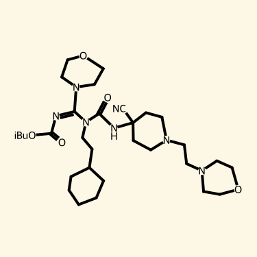 CC(C)COC(=O)N=C(N1CCOCC1)N(CCC1CCCCC1)C(=O)NC1(C#N)CCN(CCN2CCOCC2)CC1